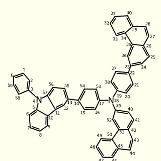 c1ccc(-n2c3ccccc3c3cc(-c4ccc(N(c5ccc(-c6ccc7ccc8ccccc8c7c6)cc5)c5ccc6ccc7ccccc7c6c5)cc4)ccc32)cc1